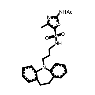 CC(=O)Nc1nc(C)c(S(=O)(=O)NCCCN2c3ccccc3CCc3ccccc32)s1